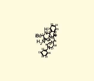 CCC(C)C(Nc1nc(CN2CCN(c3ccccc3)CC2)nc2ccccc12)C(N)=O